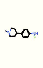 CN1CCC(c2ccc(NF)cc2)CC1